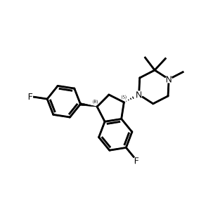 CN1CCN([C@H]2C[C@H](c3ccc(F)cc3)c3ccc(F)cc32)CC1(C)C